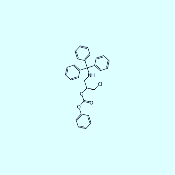 O=C(Oc1ccccc1)O[C@H](CCl)CNC(c1ccccc1)(c1ccccc1)c1ccccc1